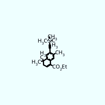 CCOC(=O)C1=CCC(C)(C)c2cc(C#C[Si](C)(C)C)c(C)cc21